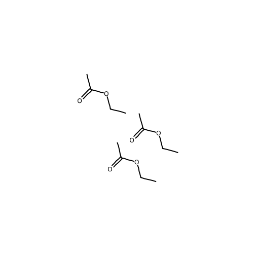 CCOC(C)=O.CCOC(C)=O.CCOC(C)=O